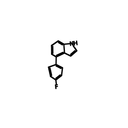 Fc1ccc(-c2cccc3[nH]ccc23)cc1